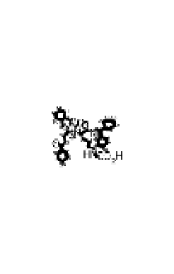 O=C(O)NCCCC[C@@H](NC(=O)[C@@H]1Cc2ccccc2CN1C(=O)CCC(=O)c1ccccc1)C(=O)NCC(c1ccccc1)c1ccccc1